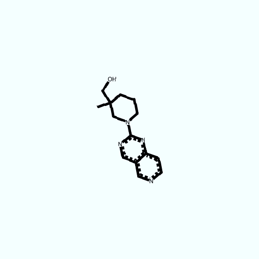 CC1(CO)CCCN(c2ncc3cnccc3n2)C1